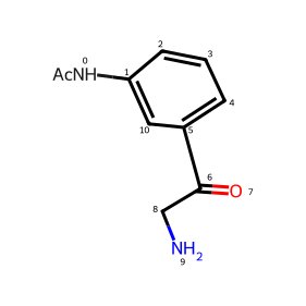 CC(=O)Nc1cccc(C(=O)CN)c1